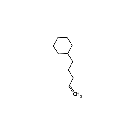 C=C[CH]CCC1CCCCC1